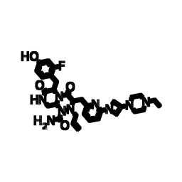 C=CCN1C(Cc2cccc(N3CC(N4CCN(CC)CC4)C3)n2)C(=O)N2C(Cc3ccc(O)cc3F)C(=O)NCC2N1C(N)=O